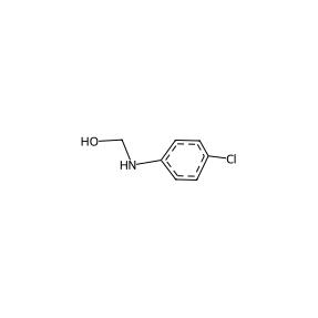 OCNc1ccc(Cl)cc1